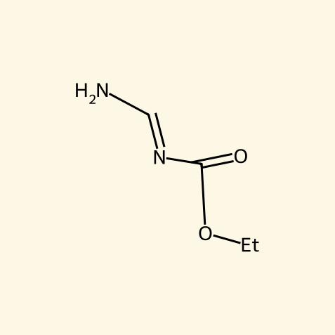 CCOC(=O)N=CN